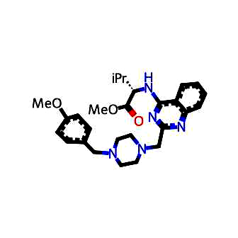 COC(=O)[C@@H](Nc1nc(CN2CCN(Cc3ccc(OC)cc3)CC2)nc2ccccc12)C(C)C